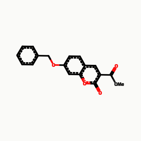 COC(=O)c1cc2ccc(OCc3ccccc3)cc2oc1=O